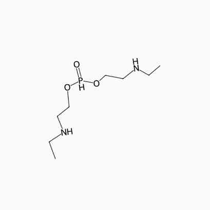 CCNCCO[PH](=O)OCCNCC